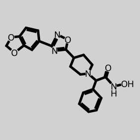 O=C(NO)C(c1ccccc1)N1CCC(c2nc(-c3ccc4c(c3)OCO4)no2)CC1